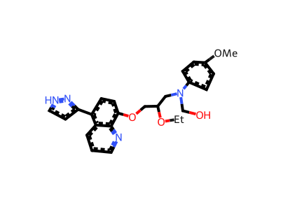 CCOC(COc1ccc(-c2cc[nH]n2)c2cccnc12)CN(CO)c1ccc(OC)cc1